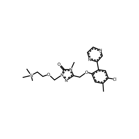 Cc1cc(OCc2nn(COCC[Si](C)(C)C)c(=O)n2C)c(-c2cnccn2)cc1Cl